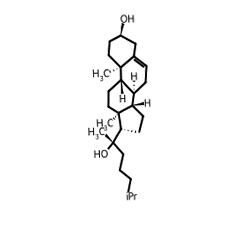 CC(C)CCC[C@](C)(O)[C@H]1CC[C@H]2[C@@H]3CC=C4C[C@H](O)CC[C@]4(C)[C@H]3CC[C@@]21C